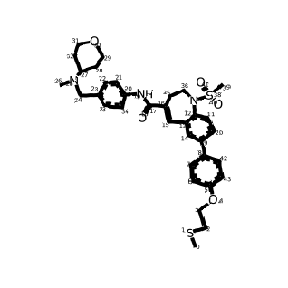 CSCCOc1ccc(-c2ccc3c(c2)C=C(C(=O)Nc2ccc(CN(C)C4CCOCC4)cc2)CCN3S(C)(=O)=O)cc1